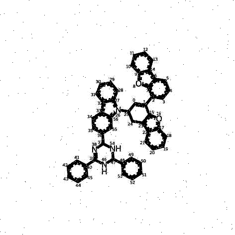 C1=C(c2cccc3c2oc2ccccc23)c2oc3ccccc3c2CC1n1c2ccccc2c2ccc(C3N=C(c4ccccc4)NC(c4ccccc4)N3)cc21